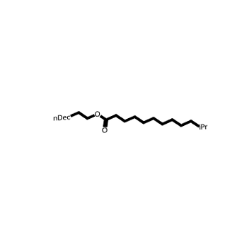 CCCCCCCCCCCCOC(=O)CCCCCCCCCC(C)C